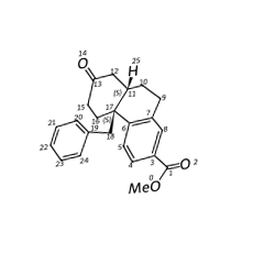 COC(=O)c1ccc2c(c1)CC[C@H]1CC(=O)CC[C@@]21Cc1ccccc1